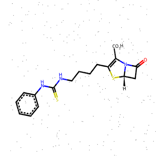 O=C(O)C1=C(CCCCNC(=S)Nc2ccccc2)S[C@H]2CC(=O)N12